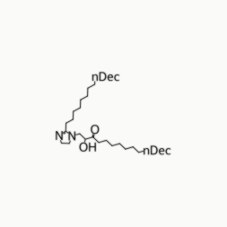 CCCCCCCCCCCCCCCCCCC1=NCCN1CC(O)C(=O)CCCCCCCCCCCCCCCCC